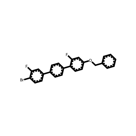 Fc1cc(-c2ccc(-c3ccc(OCc4ccccc4)cc3F)cc2)ccc1Br